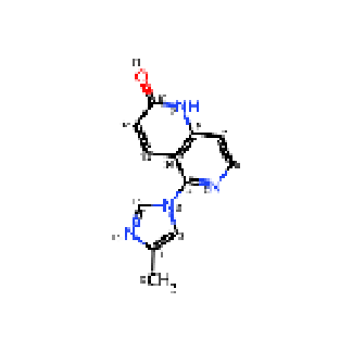 Cc1cn(-c2nccc3[nH]c(=O)ccc23)cn1